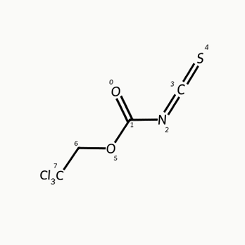 O=C(N=C=S)OCC(Cl)(Cl)Cl